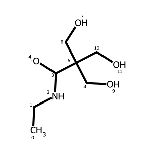 CCNC([O])C(CO)(CO)CO